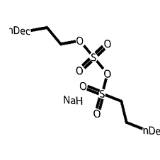 CCCCCCCCCCCCOS(=O)(=O)OS(=O)(=O)CCCCCCCCCCCC.[NaH]